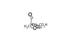 CC(Cc1ccc2[nH]c(C(=O)O)cc2c1)N(O)CCCOc1ccccc1